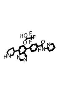 O=C(Nc1ccccn1)c1ccc(-c2ccc(C3CCCNC3)c3ncncc23)cc1.O=C(O)C(F)(F)F